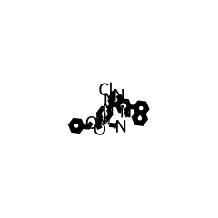 CN1Cc2c(nc(Cl)nc2N2CCN(C(=O)OCc3ccccc3)[C@@H](CC#N)C2)CC1c1cccc2ccccc12